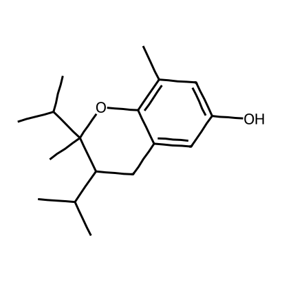 Cc1cc(O)cc2c1OC(C)(C(C)C)C(C(C)C)C2